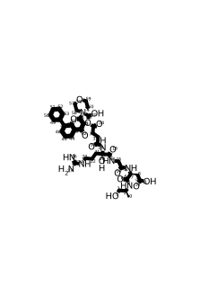 C[C@@H](CO)NC(=O)[C@H](CC(=O)O)NC(=O)CNC(=O)[C@@](O)(CCCNC(=N)N)NC(=O)CCC(=O)OC(O)[N+]1(c2cc(=O)c3cccc(-c4ccccc4)c3o2)CCOCC1